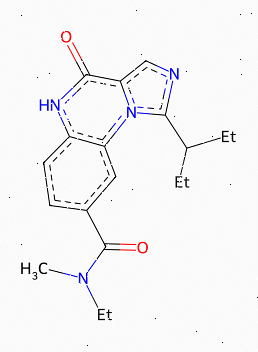 CCC(CC)c1ncc2c(=O)[nH]c3ccc(C(=O)N(C)CC)cc3n12